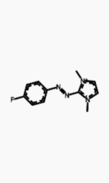 Cn1cc[n+](C)c1/N=N/c1ccc(F)cc1